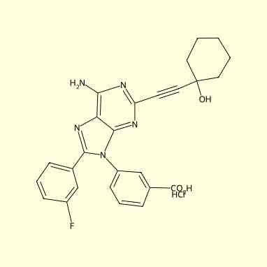 Cl.Nc1nc(C#CC2(O)CCCCC2)nc2c1nc(-c1cccc(F)c1)n2-c1cccc(C(=O)O)c1